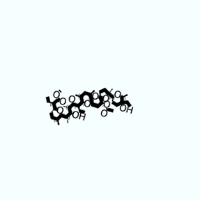 CC[C@@H](C(=O)[C@@H](C)[C@@H](O)[C@H](C)[C@@H]1O[C@@H]([C@@H](CC)C(=O)OC)CC[C@@H]1C)[C@H]1O[C@@]2(C=C[C@@H](OC(C)=O)[C@]3(CC[C@@](C)([C@H]4CC[C@](O)(CC)[C@H](C)O4)O3)O2)[C@H](C)C[C@@H]1C